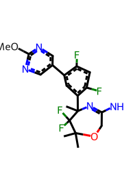 COc1ncc(-c2cc(C3(C)N=C(N)COC(C)(C)C3(F)F)c(F)cc2F)cn1